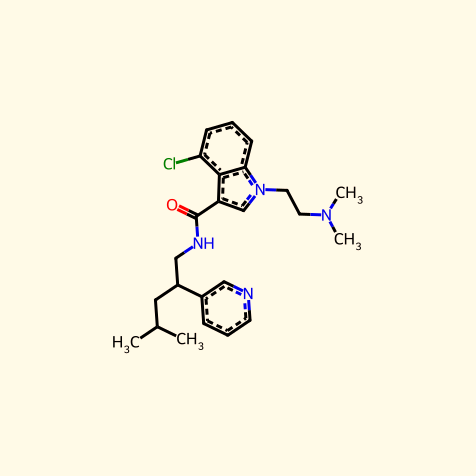 CC(C)CC(CNC(=O)c1cn(CCN(C)C)c2cccc(Cl)c12)c1cccnc1